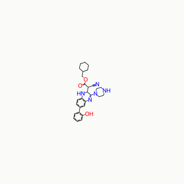 N#CC(C(=O)OCC1CCCCC1)C1Nc2ccc(-c3ccccc3O)cc2N=C1N1CCNCC1